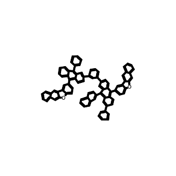 c1ccc(-c2ccc3c(-c4ccc5oc6cc7ccccc7cc6c5c4)c4ccc(-c5cccc(-c6ccc7c(-c8ccc9oc%10cc%11ccccc%11cc%10c9c8)c8ccccc8c(-c8ccccc8)c7c6)c5)cc4c(-c4ccc5ccccc5c4)c3c2)cc1